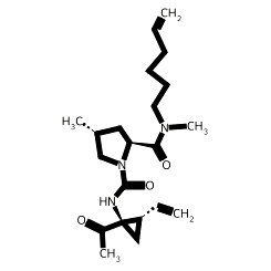 C=CCCCCN(C)C(=O)[C@@H]1C[C@@H](C)CN1C(=O)N[C@]1(C(C)=O)C[C@H]1C=C